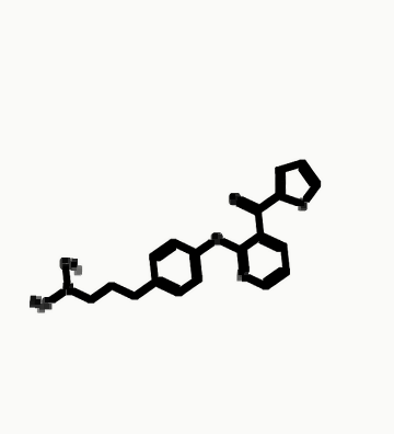 CN(C)CCCc1ccc(Oc2ncccc2C(=O)c2cccs2)cc1